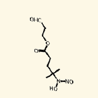 CC(C)(CCC(=O)OCCC=O)N(O)N=O